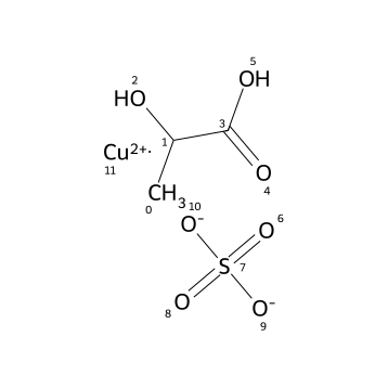 CC(O)C(=O)O.O=S(=O)([O-])[O-].[Cu+2]